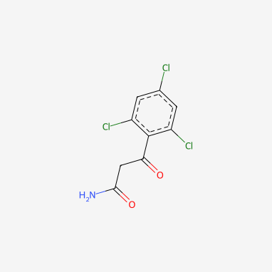 NC(=O)CC(=O)c1c(Cl)cc(Cl)cc1Cl